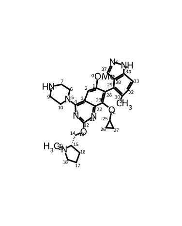 COc1cc2c(N3CCNCC3)nc(OC[C@@H]3CCCN3C)nc2c(OC2CC2)c1-c1c(C)ccc2[nH]ncc12